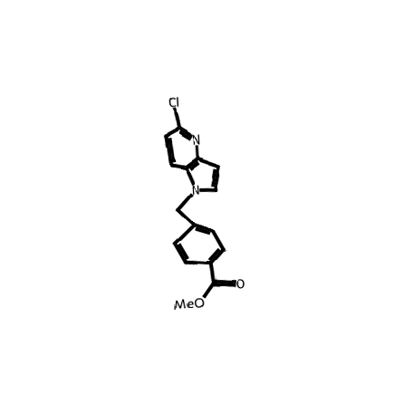 COC(=O)c1ccc(Cn2ccc3nc(Cl)ccc32)cc1